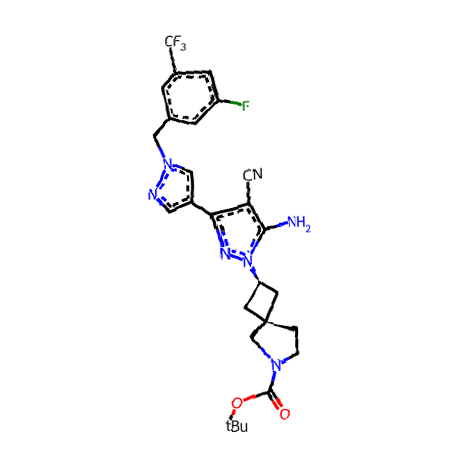 CC(C)(C)OC(=O)N1CC[C@]2(C1)C[C@H](n1nc(-c3cnn(Cc4cc(F)cc(C(F)(F)F)c4)c3)c(C#N)c1N)C2